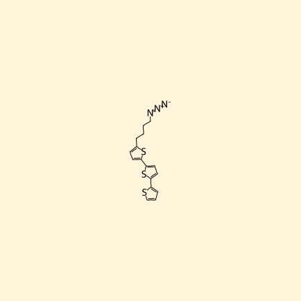 [N-]=[N+]=NCCCCc1ccc(-c2ccc(-c3cccs3)s2)s1